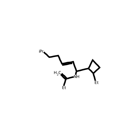 C=C(CC)NC(/C=C/CCC(C)C)C1CCC1CC